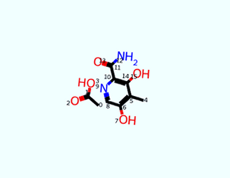 CC(=O)O.Cc1c(O)cnc(C(N)=O)c1O